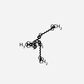 C=CC(=O)OCCCCCCCCCCOc1ccc(C(=Cc2ccc(N(c3ccc(C(C)(C)C)cc3)c3ccccc3C)cc2)c2ccc(OCCCCCCCCCCOC(=O)C=C)cc2)cc1